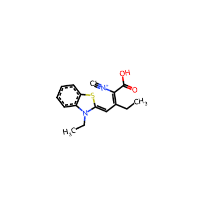 [C-]#[N+]C(C(=O)O)=C(C=C1Sc2ccccc2N1CC)CC